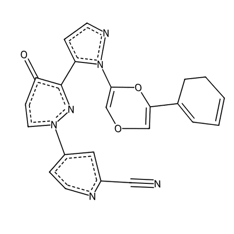 N#Cc1cc(-n2ccc(=O)c(-c3ccnn3C3=COC=C(C4=CC=CCC4)O3)n2)ccn1